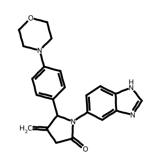 C=C1CC(=O)N(c2ccc3[nH]cnc3c2)C1c1ccc(N2CCOCC2)cc1